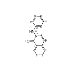 O=c1c2ccccc2ncn1Nc1ccccc1